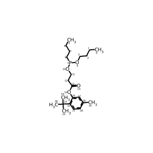 CCCCOP(CCCC)OCCC(=O)Oc1cc(C)ccc1C(C)(C)C